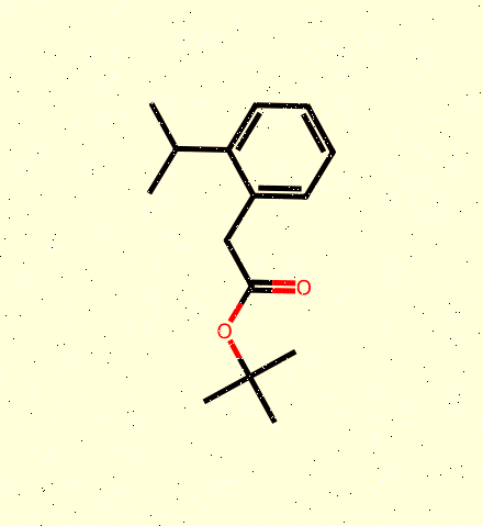 CC(C)c1ccccc1CC(=O)OC(C)(C)C